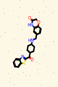 O=C1COc2ccc(CNC3CCC(C(=O)c4nc5ccccc5s4)CC3)cc2N1